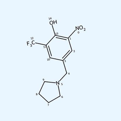 O=[N+]([O-])c1cc(CN2CCCC2)cc(C(F)(F)F)c1O